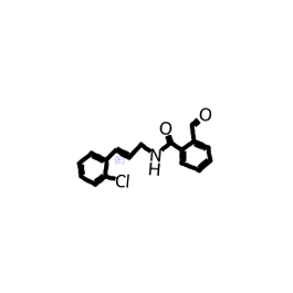 O=Cc1ccccc1C(=O)NC/C=C/c1ccccc1Cl